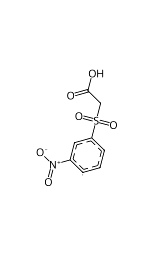 O=C(O)CS(=O)(=O)c1cc[c]c([N+](=O)[O-])c1